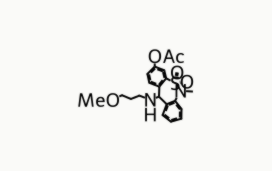 COCCCNC1c2ccccc2N(C)S(=O)(=O)c2cc(OC(C)=O)ccc21